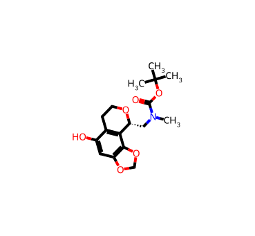 CN(C[C@H]1OCCc2c(O)cc3c(c21)OCO3)C(=O)OC(C)(C)C